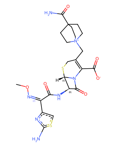 CO/N=C(\C(=O)N[C@@H]1C(=O)N2C(C(=O)[O-])=C(C[N+]34CCC(C(N)=O)(CC3)CC4)CS[C@@H]12)c1csc(N)n1